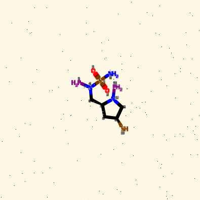 NS(=O)(=O)N(P)C[C@@H]1C[C@H](S)CN1P